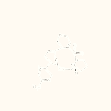 Nc1cnc(-c2ccc3cc2NC[C@H]2CCCN2S(=O)(=O)c2ccccc2-3)cn1